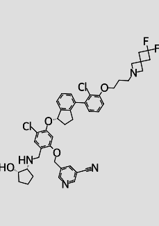 N#Cc1cncc(COc2cc(O[C@H]3CCc4c(-c5cccc(OCCCN6CC7(C6)CC(F)(F)C7)c5Cl)cccc43)c(Cl)cc2CN[C@@H]2CCC[C@@H]2O)c1